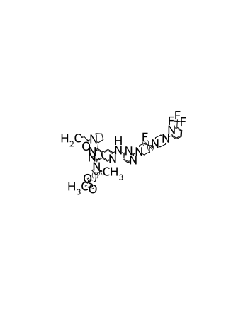 C=CC(=O)N1CCCC1c1nnc(N2C[C@H](CS(C)(=O)=O)[C@H]2C)c2cnc(Nc3ccnc(N4CC[C@@H](N5CCN(c6cccc(C(F)(F)F)n6)CC5)[C@@H](F)C4)n3)cc12